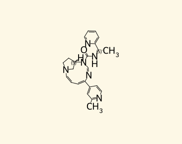 Cc1cc(C2=CC=CN3CC[C@@H](C3)N(C(=O)N[C@@H](C)c3ccccn3)C=N2)ccn1